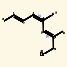 CC=C/C=C(F)\C=C(/C)CBr